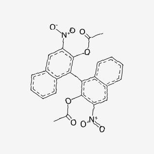 CC(=O)Oc1c([N+](=O)[O-])cc2ccccc2c1-c1c(OC(C)=O)c([N+](=O)[O-])cc2ccccc12